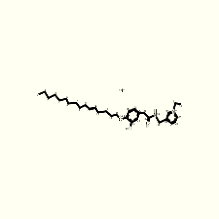 CCCCCCCCCCCCCCCCOc1ccc(CC(=O)NCc2ccc[n+](CC)c2)cc1Cl.[I-]